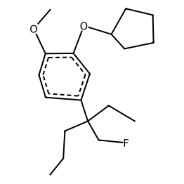 CCCC(CC)(CF)c1ccc(OC)c(OC2CCCC2)c1